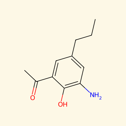 CCCc1cc(N)c(O)c(C(C)=O)c1